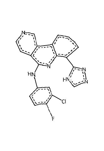 Fc1ccc(Nc2nc3c(-c4nnc[nH]4)cccc3c3cnccc23)cc1Cl